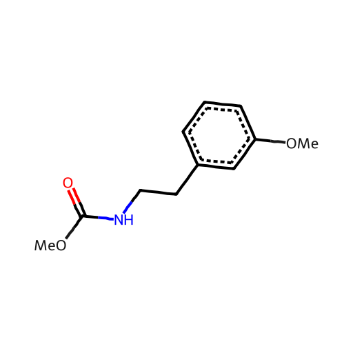 COC(=O)NCCc1cccc(OC)c1